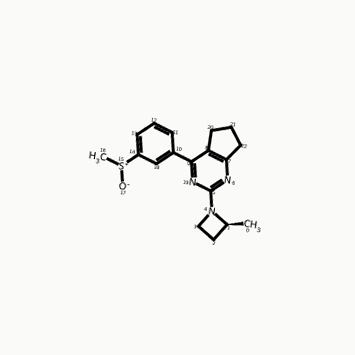 C[C@H]1CCN1c1nc2c(c(-c3cccc([S+](C)[O-])c3)n1)CCC2